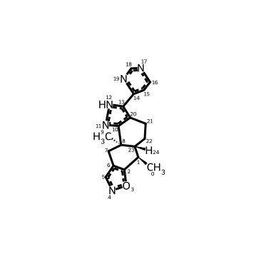 C[C@H]1c2oncc2C[C@@]2(C)c3n[nH]c(-c4ccncn4)c3CC[C@H]12